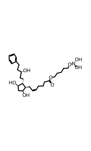 O=C(CCC/C=C\C[C@@H]1[C@@H](CC[C@@H](O)CCc2ccccc2)[C@H](O)C[C@@H]1O)OCCCCCON(O)O